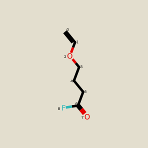 C=COCCCC(=O)F